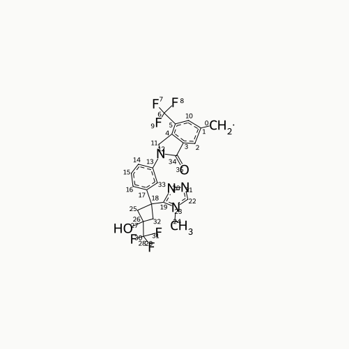 [CH2]c1cc2c(c(C(F)(F)F)c1)CN(c1cccc(C3(c4nncn4C)CC(O)(C(F)(F)F)C3)c1)C2=O